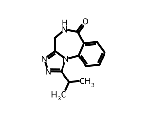 CC(C)c1nnc2n1-c1ccccc1C(=O)NC2